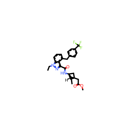 CCn1nc(C(=O)NC23CC(CC(=O)OC)(C2)[C@@H]3C)c2c(Cc3ccc(C(F)(F)F)cc3)cccc21